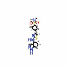 CN(C)S(=O)(=O)c1ccc(-c2csc(Nc3cccc4[nH]ncc34)n2)cc1